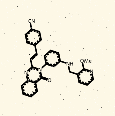 COc1ncccc1CNc1cccc(-n2c(/C=C/c3ccc(C#N)cc3)nc3ccccc3c2=O)c1